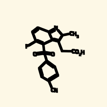 CC1N=c2ccc(F)c(S(=O)(=O)c3ccc(C#N)cc3)c2=C1CC(=O)O